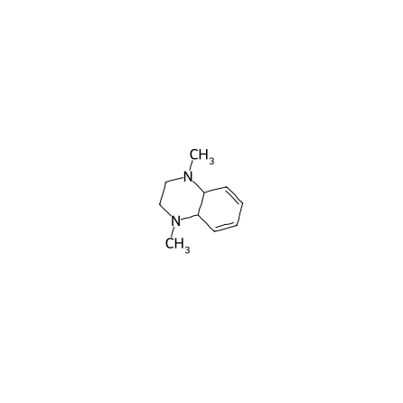 CN1CCN(C)C2C=CC=CC21